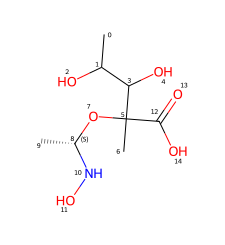 CC(O)C(O)C(C)(O[C@@H](C)NO)C(=O)O